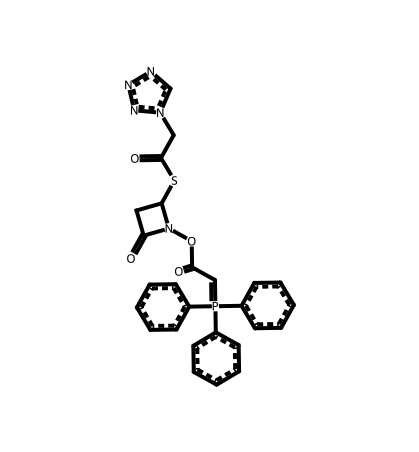 O=C(C=P(c1ccccc1)(c1ccccc1)c1ccccc1)ON1C(=O)CC1SC(=O)Cn1cnnn1